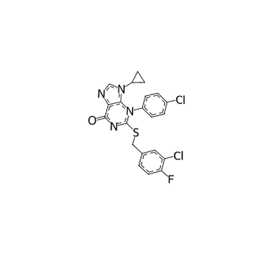 O=c1nc(SCc2ccc(F)c(Cl)c2)n(-c2ccc(Cl)cc2)c2c1ncn2C1CC1